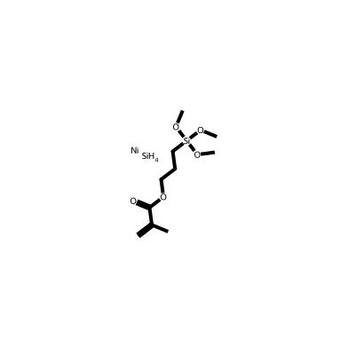 C=C(C)C(=O)OCCC[Si](OC)(OC)OC.[Ni].[SiH4]